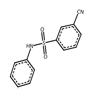 N#Cc1cccc(S(=O)(=O)Nc2cc[c]cc2)c1